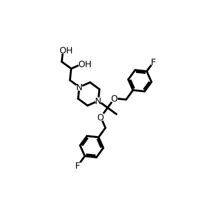 CC(OCc1ccc(F)cc1)(OCc1ccc(F)cc1)N1CCN(CC(O)CO)CC1